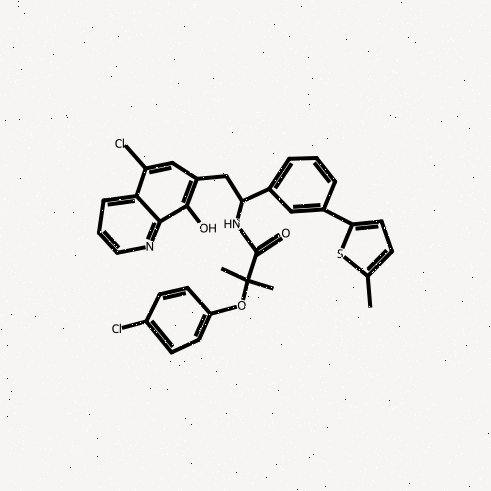 Cc1ccc(-c2cccc(C(Cc3cc(Cl)c4cccnc4c3O)NC(=O)C(C)(C)Oc3ccc(Cl)cc3)c2)s1